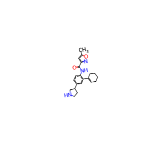 Cc1cc(C(=O)Nc2ccc(C3CCNC3)cc2C2=CCCCC2)no1